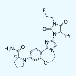 CC(C)C1C(=O)N(CCF)C(=O)N1c1cn2c(n1)-c1ccc(N3CCC[C@H]3C(N)=O)cc1OCC2